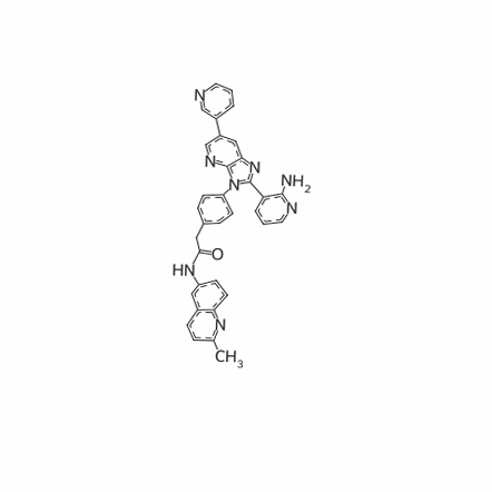 Cc1ccc2cc(NC(=O)Cc3ccc(-n4c(-c5cccnc5N)nc5cc(-c6cccnc6)cnc54)cc3)ccc2n1